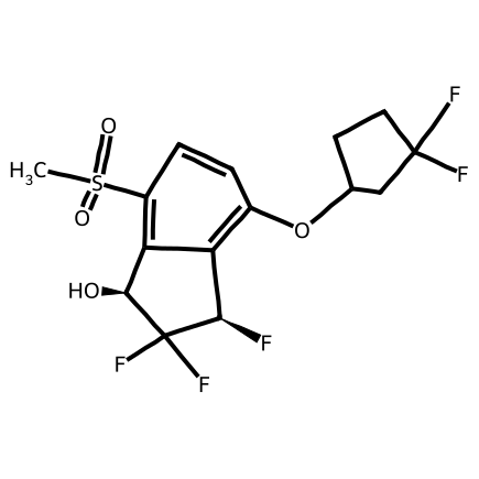 CS(=O)(=O)c1ccc(OC2CCC(F)(F)C2)c2c1[C@H](O)C(F)(F)[C@@H]2F